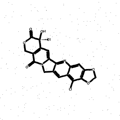 CC[C@@]1(O)C(=O)OCc2c1cc1n(c2=O)Cc2cc3c(Cl)c4c(cc3nc2-1)OCO4